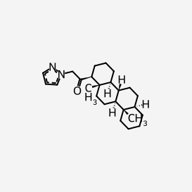 C[C@]12CCCC[C@@H]1CC[C@@H]1[C@@H]2CC[C@]2(C)[C@@H](C(=O)Cn3cccn3)CCC[C@@H]12